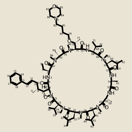 CC[C@@H]1NC(=O)[C@@H]2[C@@H]([C@H](C)C/C=C/c3ccccc3)ON2C(=O)[C@H](C(C)C)N(C)C(=O)[C@H](CC(C)C)N(C)C(=O)[C@H](CC(C)C)N(C)C(=O)[C@@H](C)NC(=O)[C@H](C)NC(=O)[C@H](CC(C)C)N(C)C(=O)[C@H](C(C)C)NC(=O)[C@H]([C@@H](C)OCCCCN2CCOCC2)N(C)C(=O)[C@@H](C)N(C)C1=O